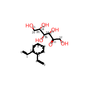 C=Cc1ccccc1C=C.O=C(CO)[C@H](O)[C@@H](O)[C@H](O)CO